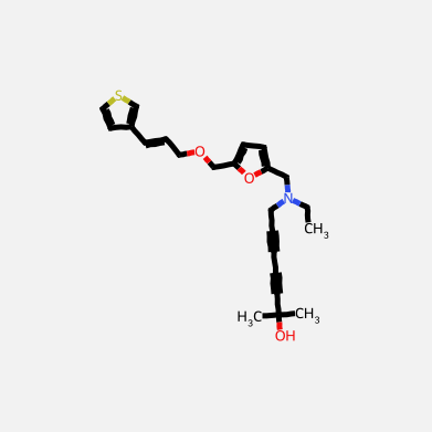 CCN(CC#CC#CC(C)(C)O)Cc1ccc(COCC=Cc2ccsc2)o1